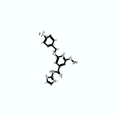 CC(C)Oc1cc(C(=O)Nc2nccs2)cc(OCc2ccc(C(F)(F)F)cc2)n1